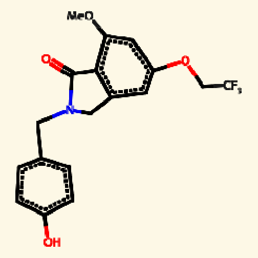 COc1cc(OCC(F)(F)F)cc2c1C(=O)N(Cc1ccc(O)cc1)C2